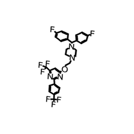 Fc1ccc(C(c2ccc(F)cc2)N2CCN(CCOc3cc(C(F)(F)F)nc(-c4ccc(C(F)(F)F)cc4)n3)CC2)cc1